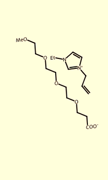 C=CC[n+]1ccn(CC)c1.COCCOCCOCCOCCC(=O)[O-]